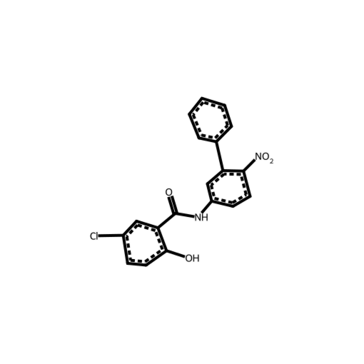 O=C(Nc1ccc([N+](=O)[O-])c(-c2ccccc2)c1)c1cc(Cl)ccc1O